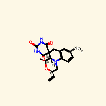 C=C[C@@H]1CN2c3ccc([N+](=O)[O-])cc3CC3(C(=O)NC(=O)NC3=O)[C@H]2[C@H](C)O1